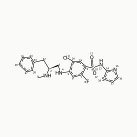 CN[C@H](CNc1cc(F)c(S(=O)(=O)Nc2nccs2)cc1Cl)Cc1ccccc1